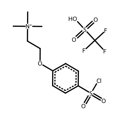 C[N+](C)(C)CCOc1ccc(S(=O)(=O)Cl)cc1.O=S(=O)(O)C(F)(F)F